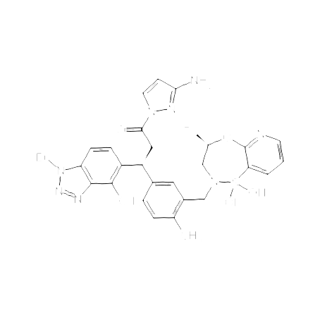 CC[C@@H]1CN(Cc2cc([C@H](CC(=O)n3ccc(N)n3)c3ccc4c(nnn4CC)c3C)ccc2C)S(O)(O)c2cccnc2O1